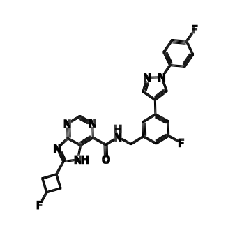 O=C(NCc1cc(F)cc(-c2cnn(-c3ccc(F)cc3)c2)c1)c1ncnc2nc(C3CC(F)C3)[nH]c12